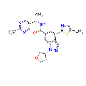 Cc1cnc(-c2cc(C(=O)NC(C)c3cnc(C(F)(F)F)nc3)cc3c2cnn3[C@@H]2CCOC2)s1